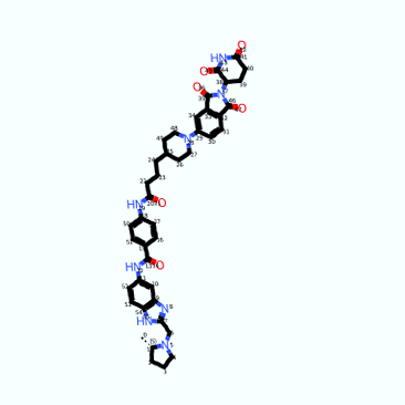 C[C@H]1CCCN1Cc1nc2cc(NC(=O)c3ccc(NC(=O)CCCC4CCN(c5ccc6c(c5)C(=O)N(C5CCC(=O)NC5=O)C6=O)CC4)cc3)ccc2[nH]1